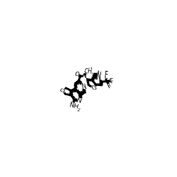 CN(C(=O)c1cc2c3c(c(N)nc2cn1)COC3)[C@H]1COc2cc(C(F)(F)F)ncc21